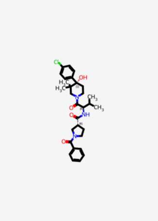 CC(C)[C@@H](NC(=O)[C@@H]1CCN(C(=O)c2ccccc2)C1)C(=O)N1CC[C@](O)(c2ccc(Cl)cc2)C(C)(C)C1